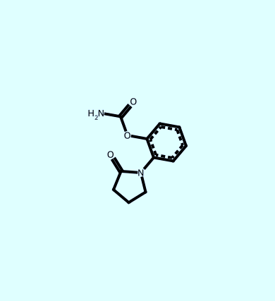 NC(=O)Oc1ccccc1N1CCCC1=O